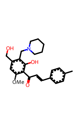 COc1cc(CO)c(CN2CCCCC2)c(O)c1C(=O)/C=C/c1ccc(C)cc1